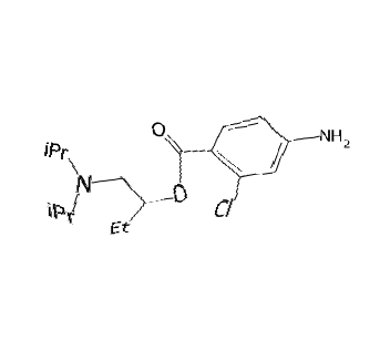 CCC(CN(C(C)C)C(C)C)OC(=O)c1ccc(N)cc1Cl